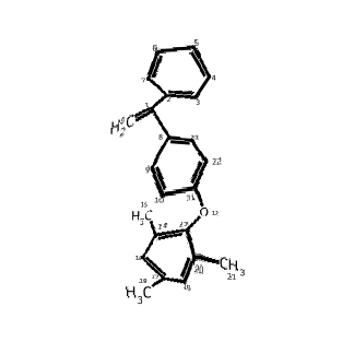 C=C(c1ccccc1)c1ccc(Oc2c(C)cc(C)cc2C)cc1